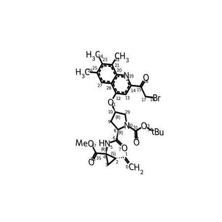 C=C[C@@H]1C[C@]1(NC(=O)[C@H]1C[C@@H](Oc2cc(C(=O)CBr)nc3c(C)c(C)c(C)cc23)CN1C(=O)OC(C)(C)C)C(=O)OC